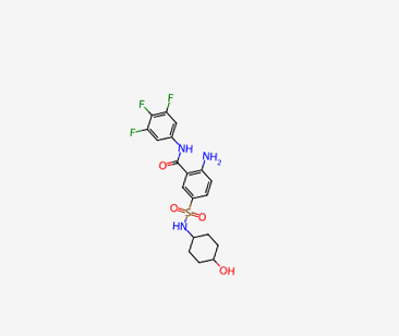 Nc1ccc(S(=O)(=O)NC2CCC(O)CC2)cc1C(=O)Nc1cc(F)c(F)c(F)c1